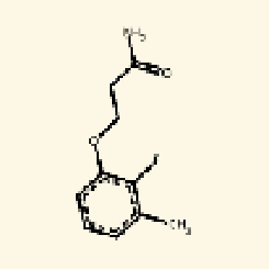 Cc1[c]ccc(OCCC(N)=O)c1F